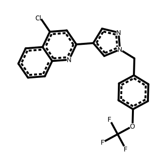 FC(F)(F)Oc1ccc(Cn2cc(-c3cc(Cl)c4ccccc4n3)cn2)cc1